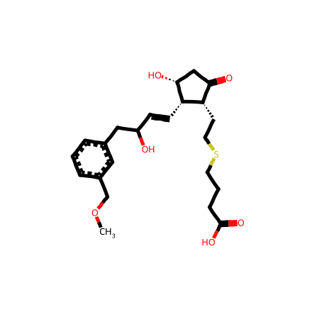 COCc1cccc(CC(O)C=C[C@@H]2[C@H](O)CC(=O)[C@@H]2CCSCCCC(=O)O)c1